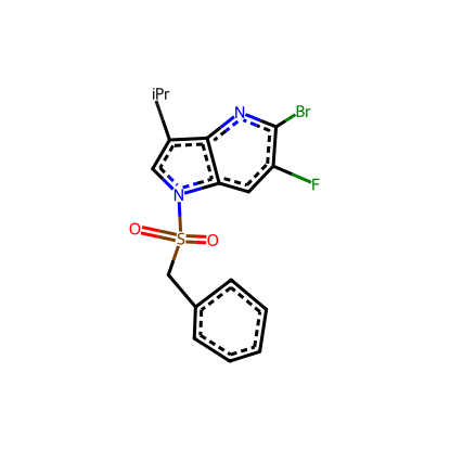 CC(C)c1cn(S(=O)(=O)Cc2ccccc2)c2cc(F)c(Br)nc12